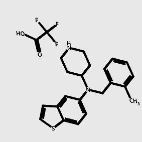 Cc1ccccc1CN(c1ccc2sccc2c1)C1CCNCC1.O=C(O)C(F)(F)F